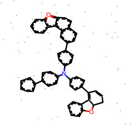 C1=CC(c2ccc(N(c3ccc(-c4ccccc4)cc3)c3ccc(-c4ccc5ccc6oc7ccccc7c6c5c4)cc3)cc2)=C2c3ccccc3OC2C1